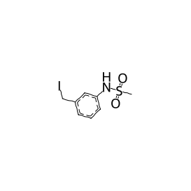 CS(=O)(=O)Nc1cccc(CI)c1